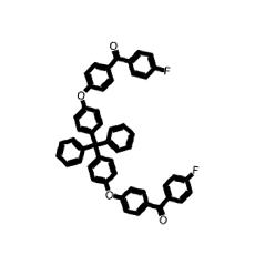 O=C(c1ccc(F)cc1)c1ccc(Oc2ccc(C(c3ccccc3)(c3ccccc3)c3ccc(Oc4ccc(C(=O)c5ccc(F)cc5)cc4)cc3)cc2)cc1